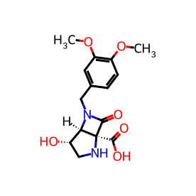 COc1ccc(CN2C(=O)[C@@]3(C(=O)O)NC[C@H](O)[C@@H]23)cc1OC